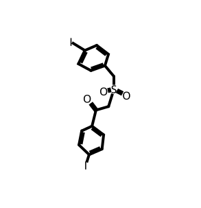 O=C(CS(=O)(=O)Cc1ccc(I)cc1)c1ccc(I)cc1